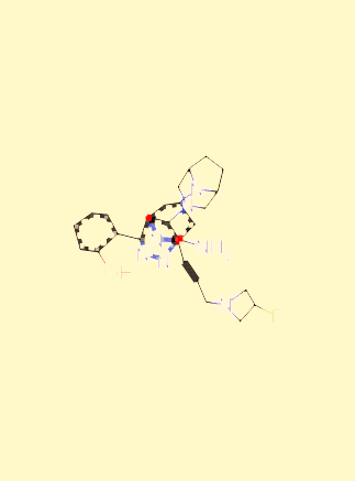 Nc1nnc(-c2ccccc2O)cc1N1CC2CCC(C1)N2c1ccnc(C#CCN2CC(F)C2)c1